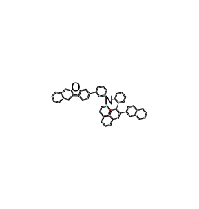 c1ccc(N(c2cccc(-c3ccc4c(c3)oc3cc5ccccc5cc34)c2)c2ccccc2-c2cc3ccccc3cc2-c2ccc3ccccc3c2)cc1